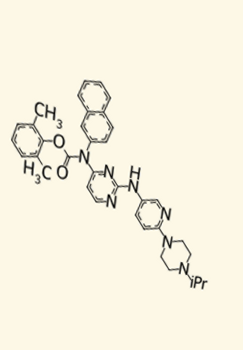 Cc1cccc(C)c1OC(=O)N(c1ccc2ccccc2c1)c1ccnc(Nc2ccc(N3CCN(C(C)C)CC3)nc2)n1